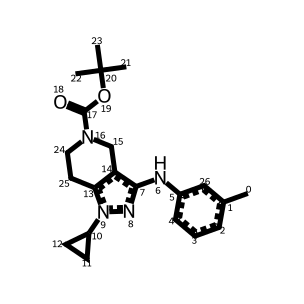 Cc1cccc(Nc2nn(C3CC3)c3c2CN(C(=O)OC(C)(C)C)CC3)c1